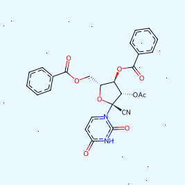 CC(=O)O[C@H]1[C@H](OC(=O)c2ccccc2)[C@@H](COC(=O)c2ccccc2)O[C@@]1(C#N)n1ccc(=O)[nH]c1=O